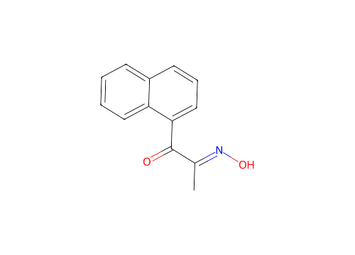 CC(=NO)C(=O)c1cccc2ccccc12